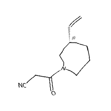 C=C[C@@H]1CCCN(C(=O)CC#N)C1